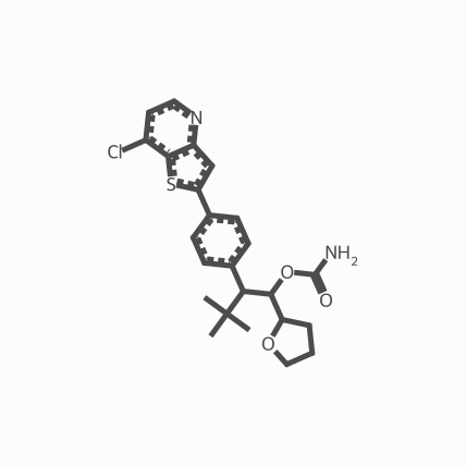 CC(C)(C)C(c1ccc(-c2cc3nccc(Cl)c3s2)cc1)C(OC(N)=O)C1CCCO1